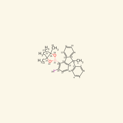 CC1(c2ccccc2)c2ccccc2-c2c1ccc(I)c2B1OC(C)(C)C(C)(C)O1